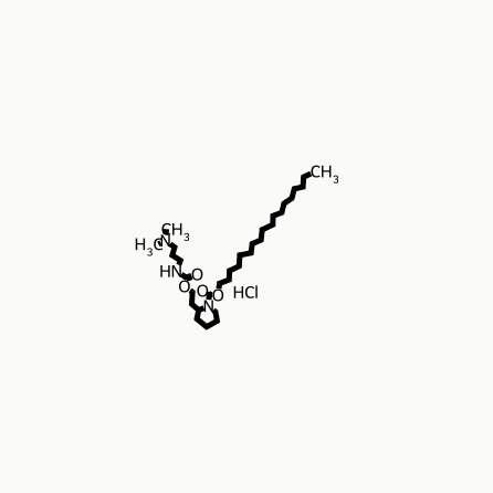 CCCCCCCCCCCCCCCCCCOC(=O)N1CCCCC1CCOC(=O)NCCCN(C)C.Cl